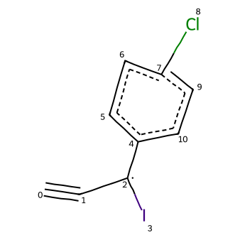 C#C[C](I)c1ccc(Cl)cc1